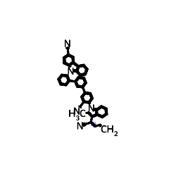 C=C/C=C(/C#N)c1c(C)n(-c2ccc(-c3cccc(-c4ccccc4-n4c5ccccc5c5cc(C#N)ccc54)c3)cc2C#N)c2ccccc12